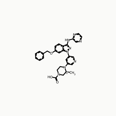 C[C@H]1CN(C(=O)O)CCN1c1cncc(-n2nc(Nc3cnccn3)c3ccc(OCc4ccccc4)cc32)c1